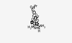 CC(C)OC(=O)CN1CCC(Oc2c(F)c(Oc3cccc(NC(=N)N)c3)nc(Oc3cc(C(=N)N)ccc3O)c2F)CC1